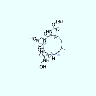 CC1/C=C\[C@@H]2C[C@@]2(C(=O)NCO)NC(=O)[C@@H]2C[C@@H](O)CN2C(=O)[C@@H](NC(=O)OC(C)(C)C)[C@H](C)CCC1